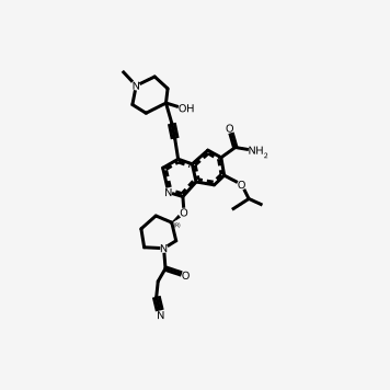 CC(C)Oc1cc2c(O[C@@H]3CCCN(C(=O)CC#N)C3)ncc(C#CC3(O)CCN(C)CC3)c2cc1C(N)=O